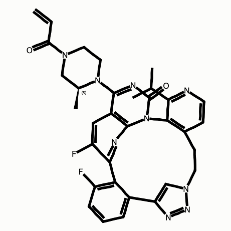 C=CC(=O)N1CCN(c2nc(=O)n3c4nc(c(F)cc24)-c2c(F)cccc2-c2cn(nn2)CCc2ccnc(C(C)C)c2-3)[C@@H](C)C1